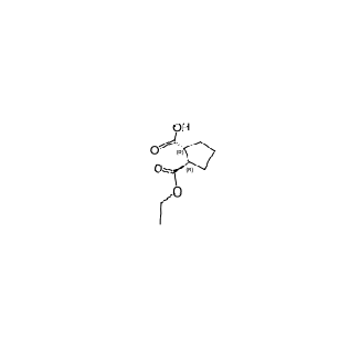 CCOC(=O)[C@@H]1CCC[C@H]1C(=O)O